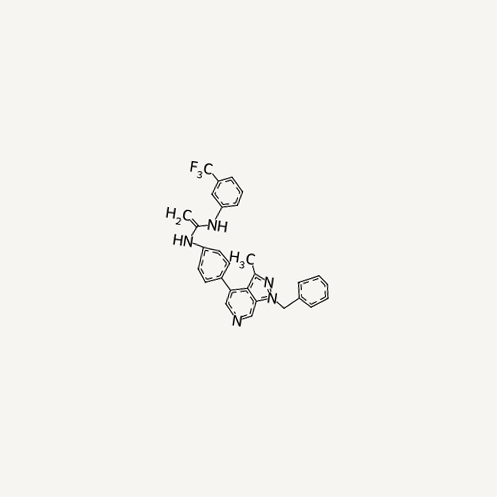 C=C(Nc1ccc(-c2cncc3c2c(C)nn3Cc2ccccc2)cc1)Nc1cccc(C(F)(F)F)c1